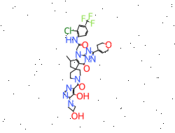 CC1CC2(CCN(C(=O)c3ncnc(N4CC(O)C4)c3O)CC2)c2c1n(CC(=O)Nc1ccc(C(F)(F)F)cc1Cl)c1nc(C3=CCOCC3)nn1c2=O